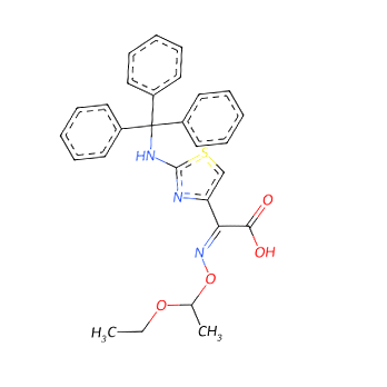 CCOC(C)ON=C(C(=O)O)c1csc(NC(c2ccccc2)(c2ccccc2)c2ccccc2)n1